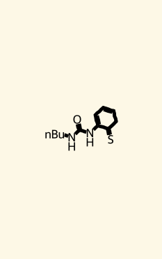 CCCCNC(=O)NC1=CC=CCC1=S